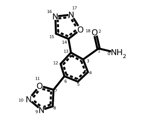 NC(=O)c1ccc(-c2cnno2)cc1-c1cnno1